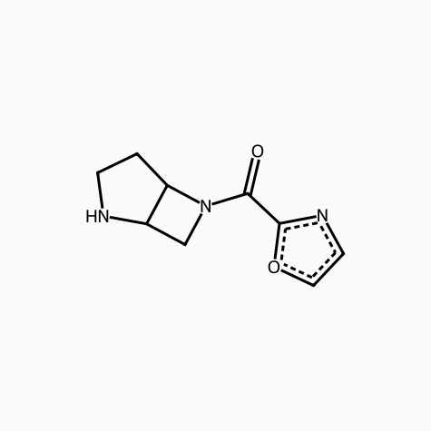 O=C(c1ncco1)N1CC2NCCC21